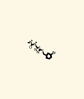 CN(C)C(=O)N(C)c1nnc(SCc2cccc(Br)c2)s1